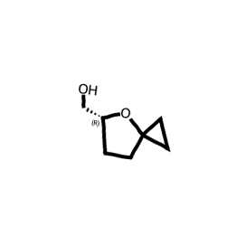 OC[C@H]1CCC2(CC2)O1